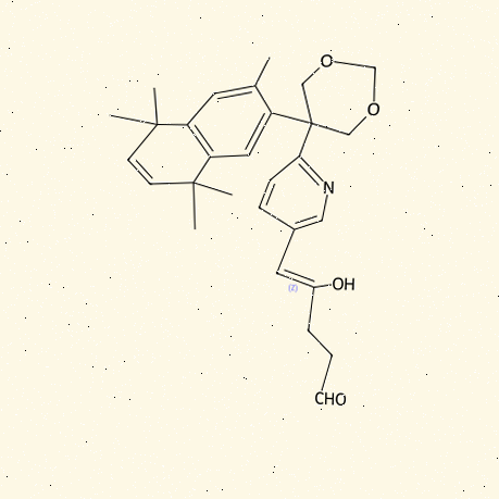 Cc1cc2c(cc1C1(c3ccc(/C=C(\O)CCC=O)cn3)COCOC1)C(C)(C)C=CC2(C)C